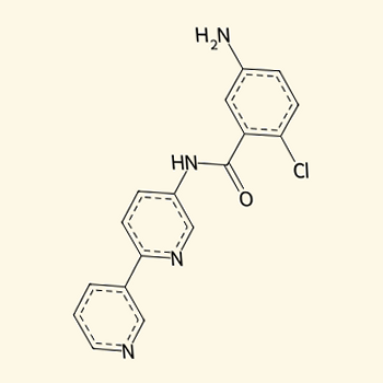 Nc1ccc(Cl)c(C(=O)Nc2ccc(-c3cccnc3)nc2)c1